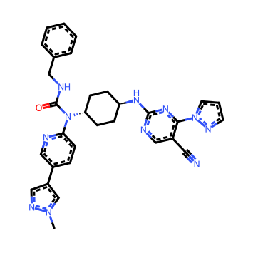 Cn1cc(-c2ccc(N(C(=O)NCc3ccccc3)[C@H]3CC[C@H](Nc4ncc(C#N)c(-n5cccn5)n4)CC3)nc2)cn1